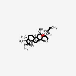 C=CCO[C@H]1[C@H](OC)C[C@]23COC[C@@]1(C)[C@@H]2CC[C@H]1C3=CC[C@@]2(C)[C@H](C(=O)O)[C@@](C)([C@H](C)C(C)C)CC[C@]12C